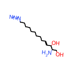 [N-]=[N+]=NCCCCCCCCC/C=C/[C@@H](O)[C@@H](N)CO